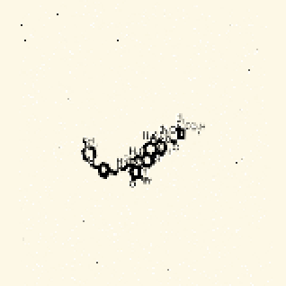 CC(C)C1=C2[C@H]3CC[C@@H]4[C@@]5(C)CC[C@H](OC(=O)[C@H]6C[C@@H](C(=O)O)C6(C)C)C(C)(C)[C@@H]5CC[C@@]4(C)[C@]3(C)CC[C@@]2([C@@H](O)CNCc2ccc(CN3CCN(C)CC3)cc2)CC1=O